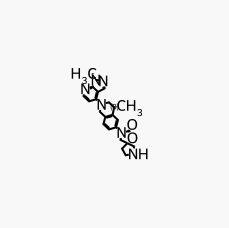 C[C@H]1CN(c2ccnc3c2cnn3C)Cc2ccc(N3CC4(CCNC4)OC3=O)cc21